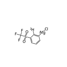 [2H]c1[c]([Mg][Cl])cccc1S(=O)(=O)C(F)(F)F